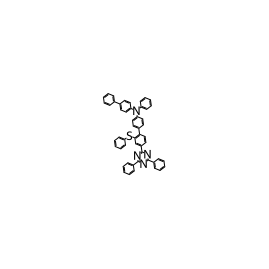 c1ccc(Sc2cc(-c3nc(-c4ccccc4)nc(-c4ccccc4)n3)ccc2-c2ccc(N(c3ccccc3)c3ccc(-c4ccccc4)cc3)cc2)cc1